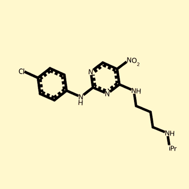 CC(C)NCCCNc1nc(Nc2ccc(Cl)cc2)ncc1[N+](=O)[O-]